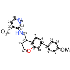 COc1ccc(-c2ccc3c(c2)OCCC3CNc2cnccc2C(=O)O)cc1